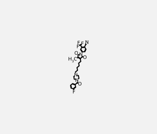 CC1=C(CCCCCCN2CCN(C(=O)c3cccc(F)c3)CC2)C(=O)N(c2ccc(C#N)c(C(F)(F)F)c2)C1=O